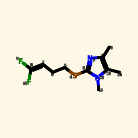 Cc1nc(SCCC=C(F)F)n(C)c1C